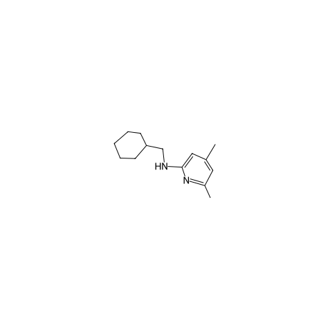 Cc1cc(C)nc(NCC2CCCCC2)c1